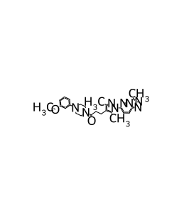 COc1cccc(N2CCN(C(=O)CCc3c(C)nn(-c4ccc5nnc(C)n5n4)c3C)CC2)c1